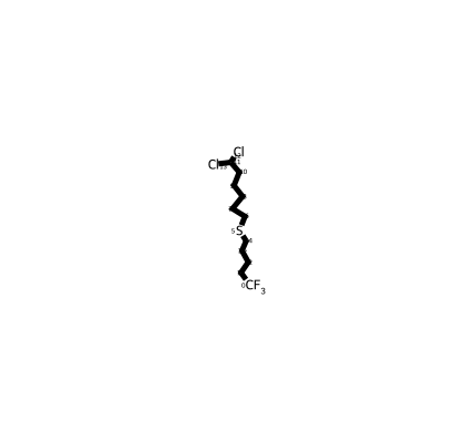 FC(F)(F)CC[CH]CSCCCCCC(Cl)Cl